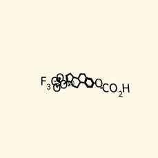 C[C@]12CCC3c4ccc(OCC(=O)O)cc4CCC3C1CC=C2OS(=O)(=O)C(F)(F)F